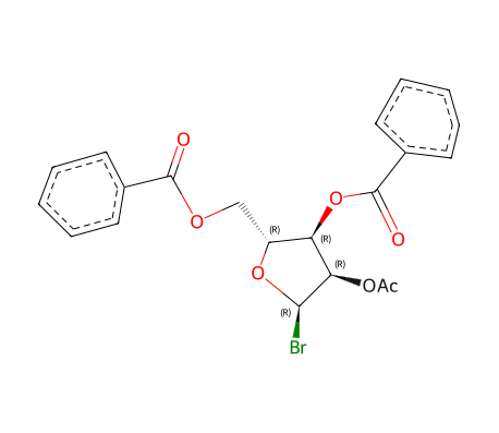 CC(=O)O[C@@H]1[C@H](OC(=O)c2ccccc2)[C@@H](COC(=O)c2ccccc2)O[C@@H]1Br